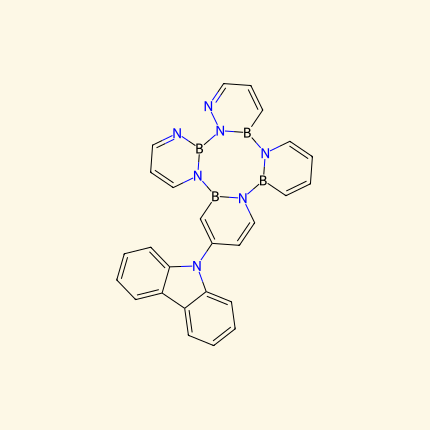 C1=CB2N3C=CC(n4c5ccccc5c5ccccc54)=CB3N3C=CC=NB3N3N=CC=CB3N2C=C1